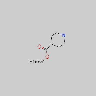 CCCCCOC(=O)C1CC[N]CC1